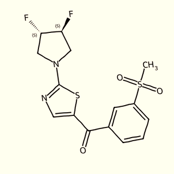 CS(=O)(=O)c1cccc(C(=O)c2cnc(N3C[C@H](F)[C@@H](F)C3)s2)c1